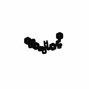 CN(C)C(CCc1ccccc1)C1CCC(CNC(=O)COC2CCN(S(=O)(=O)c3ccccc3)CC2)CC1